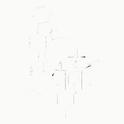 C=CCOc1c(OC)c(C)cc2c1[C@H]1C3[C@@H]4SC[C@]5(C(=O)COC[C@@H](c6c7c(c(C)c(OC(C)=O)c64)OCO7)N3[C@@H](C#N)[C@@H](C2)N1C)c1[nH]c2ccccc2c1CCN5CC=C